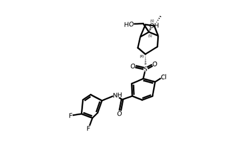 C[C@H]1CC2C[C@@H](S(=O)(=O)c3cc(C(=O)Nc4ccc(F)c(F)c4)ccc3Cl)CC1[C@]2(O)CO